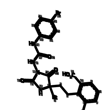 CCC1(CCc2c(C)cccc2C(=O)O)NC(=O)N(NC(=O)Nc2ccc(Br)cc2)C1=O